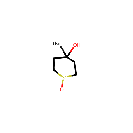 CC(C)(C)C1(O)CC[S+]([O-])CC1